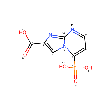 O=C(O)c1cn2c(P(=O)(O)O)ccnc2n1